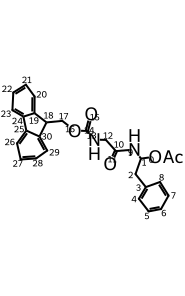 CC(=O)OC(Cc1ccccc1)NC(=O)CNC(=O)OCC1c2ccccc2-c2ccccc21